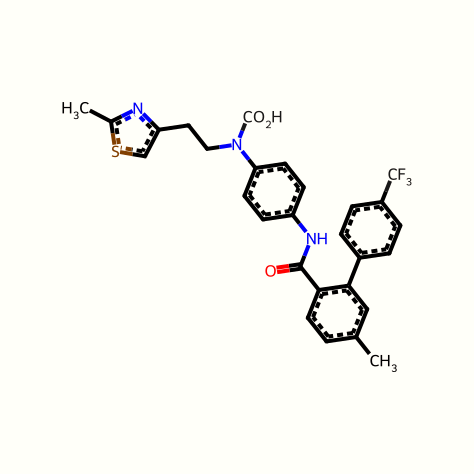 Cc1ccc(C(=O)Nc2ccc(N(CCc3csc(C)n3)C(=O)O)cc2)c(-c2ccc(C(F)(F)F)cc2)c1